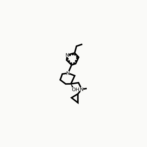 CCc1ccc(N2CCC[C@@](O)(CN(C)C3CC3)C2)cn1